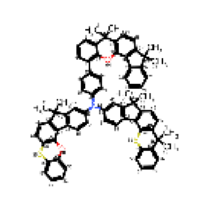 CC1(C)c2cccc(-c3ccc(N(c4ccc5c(c4)C(C)(C)c4ccc6c(c4-5)Oc4ccccc4S6)c4ccc5c(c4)C(C)(C)c4ccc6c(c4-5)Sc4ccccc4C6(C)C)cc3)c2Oc2c1ccc1c2-c2ccccc2C1(C)C